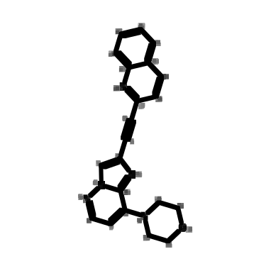 C(#Cc1cn2nccc(N3CCOCC3)c2n1)c1ccc2ccccc2n1